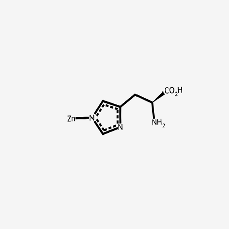 N[C@@H](Cc1c[n]([Zn])cn1)C(=O)O